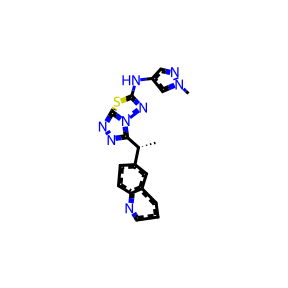 C[C@H](c1ccc2ncccc2c1)c1nnc2sc(Nc3cnn(C)c3)nn12